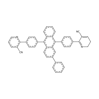 N#CC1=CCCN=C1c1ccc(-c2c3ccccc3c(-c3ccc(-c4ncccc4C#N)cc3)c3ccc(-c4ccccc4)cc23)cc1